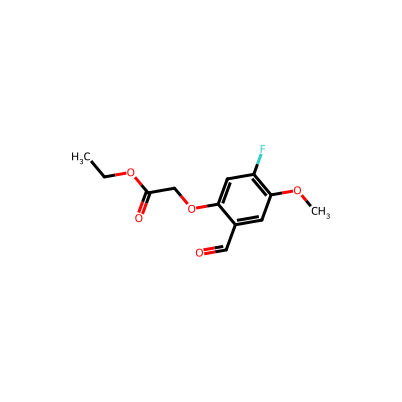 CCOC(=O)COc1cc(F)c(OC)cc1C=O